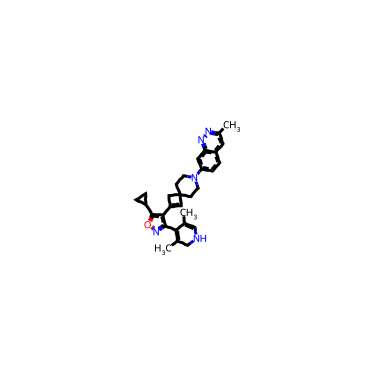 CC1=CNCC(C)=C1c1noc(C2CC2)c1C1=CC2(CCN(c3ccc4cc(C)nnc4c3)CC2)C1